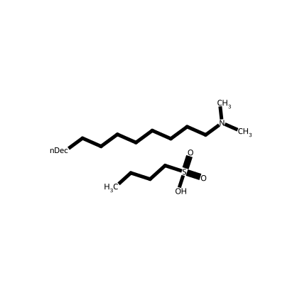 CCCCCCCCCCCCCCCCCCN(C)C.CCCCS(=O)(=O)O